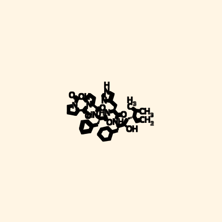 C=C[C@H](C[C@H](O)[C@H](CC1CCCCC1)NC(=O)[C@H](Cc1c[nH]cn1)NC(=O)[C@H](Cc1ccccc1)NC(=O)[C@@H]1CCCN1C(=O)[C@H]1CCCN1C(=O)O)C(C)C